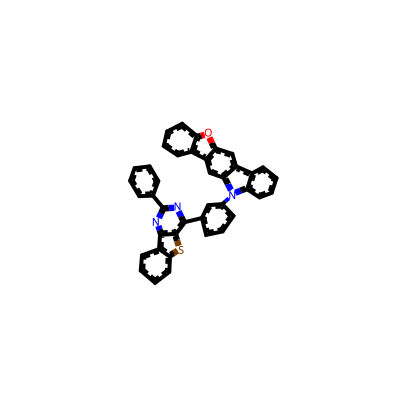 c1ccc(-c2nc(-c3cccc(-n4c5ccccc5c5cc6oc7ccccc7c6cc54)c3)c3sc4ccccc4c3n2)cc1